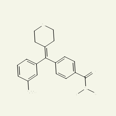 CCN(CC)C(=O)c1ccc(C(=C2CCNCC2)c2cccc(NC)c2)cc1